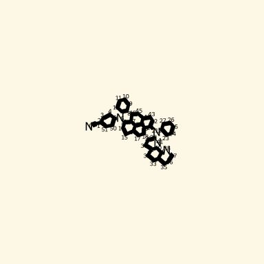 N#Cc1ccc(N(c2ccccc2)c2ccc3ccc4c(N(c5ccccc5)c5ccc6ccc7cccnc7c6n5)ccc5ccc2c3c54)cc1